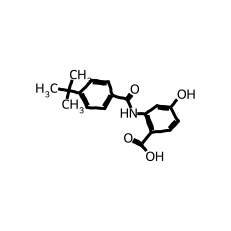 CC(C)(C)c1ccc(C(=O)Nc2cc(O)ccc2C(=O)O)cc1